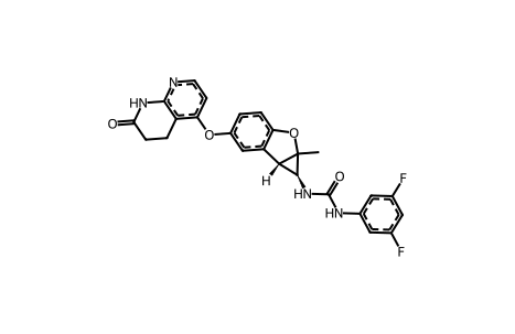 CC12Oc3ccc(Oc4ccnc5c4CCC(=O)N5)cc3[C@H]1[C@@H]2NC(=O)Nc1cc(F)cc(F)c1